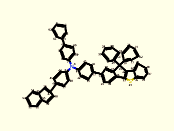 c1ccc(-c2ccc(N(c3ccc(-c4ccc5c(c4)C(c4ccccc4)(c4ccccc4)c4c-5sc5ccccc45)cc3)c3ccc(-c4ccc5ccccc5c4)cc3)cc2)cc1